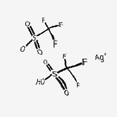 O=S(=O)(O)C(F)(F)F.O=S(=O)([O-])C(F)(F)F.[Ag+]